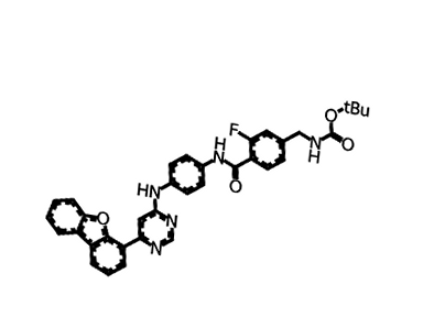 CC(C)(C)OC(=O)NCc1ccc(C(=O)Nc2ccc(Nc3cc(-c4cccc5c4oc4ccccc45)ncn3)cc2)c(F)c1